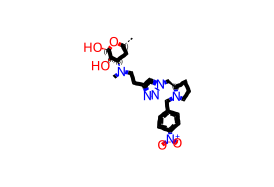 C[C@@H]1C[C@H](N(C)CCc2cn(C[C@H]3CCCN3Cc3ccc([N+](=O)[O-])cc3)nn2)[C@@H](O)[C@H](O)O1